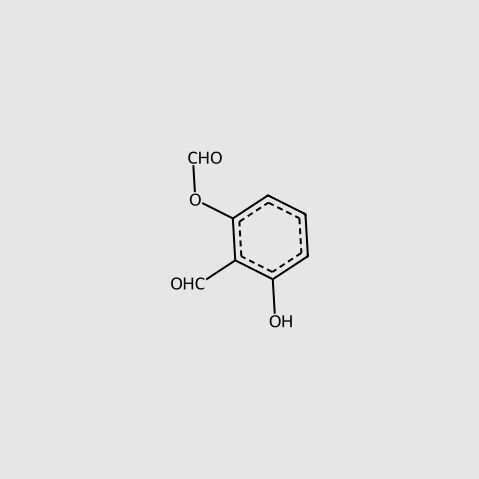 O=COc1cccc(O)c1C=O